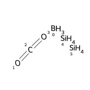 B.O=C=O.[SiH4].[SiH4]